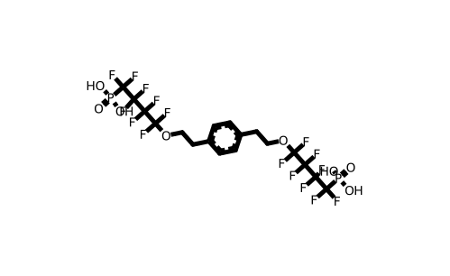 O=P(O)(O)C(F)(F)C(F)(F)C(F)(F)C(F)(F)OCCc1ccc(CCOC(F)(F)C(F)(F)C(F)(F)C(F)(F)P(=O)(O)O)cc1